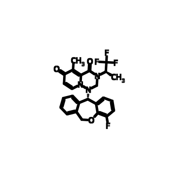 Cc1c2n(ccc1=O)N([C@H]1c3ccccc3COc3c(F)cccc31)CN([C@H](C)C(F)(F)F)C2=O